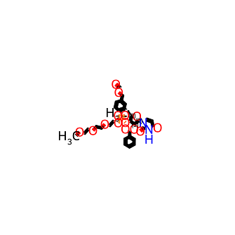 CC[C@H]1O[C@@H](n2ccc(=O)[nH]c2=O)[C@@H](OC(=O)c2ccccc2)C1OP(=O)(OCCOCCOCCOC)Oc1ccc(COC=O)cc1